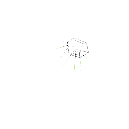 F[Si]1(F)C2C=CC(C=C2)[Si](F)(F)[Si]1(F)F